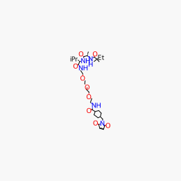 CCC(C)(C)C(=O)N[C@H](C)C(=O)N[C@@H](C(=O)NCCOCCOCCOCCNC(=O)C1CCC(CN2C(=O)C=CC2=O)CC1)C(C)C